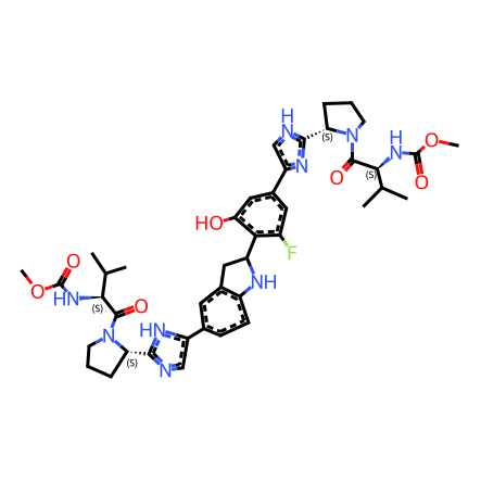 COC(=O)N[C@H](C(=O)N1CCC[C@H]1c1nc(-c2cc(O)c(C3Cc4cc(-c5cnc([C@@H]6CCCN6C(=O)[C@@H](NC(=O)OC)C(C)C)[nH]5)ccc4N3)c(F)c2)c[nH]1)C(C)C